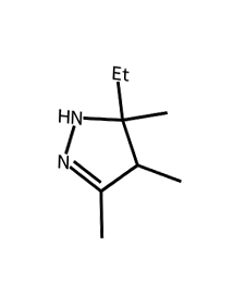 CCC1(C)NN=C(C)C1C